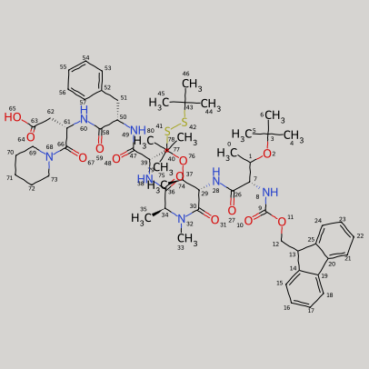 CC(OC(C)(C)C)[C@H](NC(=O)OCC1c2ccccc2-c2ccccc21)C(=O)N[C@H](C(=O)N(C)[C@@H](C)C(=O)N[C@@H](CSSC(C)(C)C)C(=O)N[C@@H](Cc1ccccc1)C(=O)N[C@@H](CC(=O)O)C(=O)N1CCCCC1)[C@@H](C)OC(C)(C)C